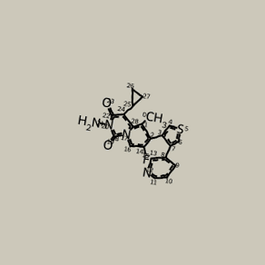 Cc1c(-c2cscc2-c2cccnc2)c(F)cn2c(=O)n(N)c(=O)c(C3CC3)c12